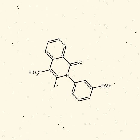 CCOC(=O)c1c(C)n(-c2cccc(OC)c2)c(=O)c2ccccc12